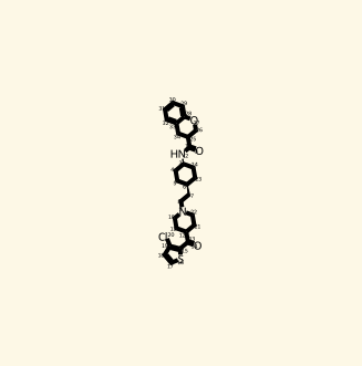 O=C(N[C@H]1CC[C@H](CCN2CCC(C(=O)c3sccc3Cl)CC2)CC1)C1COc2ccccc2C1